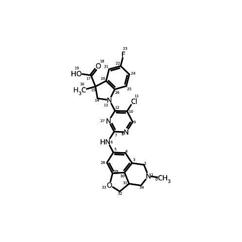 CN1Cc2cc(Nc3ncc(Cl)c(N4CC(C)(C(=O)O)c5cc(F)ccc54)n3)cc3c2C(CO3)C1